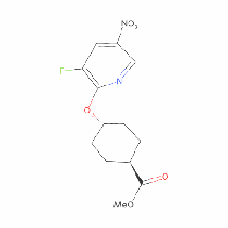 COC(=O)[C@H]1CC[C@H](Oc2ncc([N+](=O)[O-])cc2F)CC1